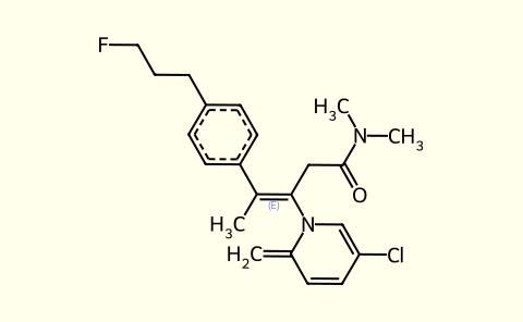 C=C1C=CC(Cl)=CN1/C(CC(=O)N(C)C)=C(\C)c1ccc(CCCF)cc1